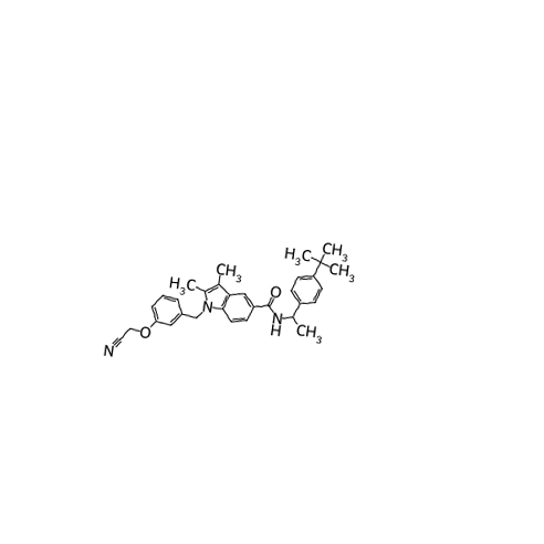 Cc1c(C)n(Cc2cccc(OCC#N)c2)c2ccc(C(=O)NC(C)c3ccc(C(C)(C)C)cc3)cc12